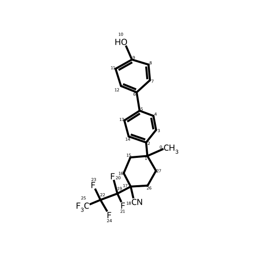 CC1(c2ccc(-c3ccc(O)cc3)cc2)CCC(C#N)(C(F)(F)C(F)(F)C(F)(F)F)CC1